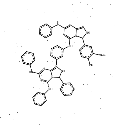 COc1cc(C2NN=C3N=C(Nc4ccccc4)N=C(Nc4cccc([N+]5=C6N=C(Nc7ccccc7)N=C(Nc7ccccc7)N6C(c6cccnc6)N5)c4)N32)ccc1O